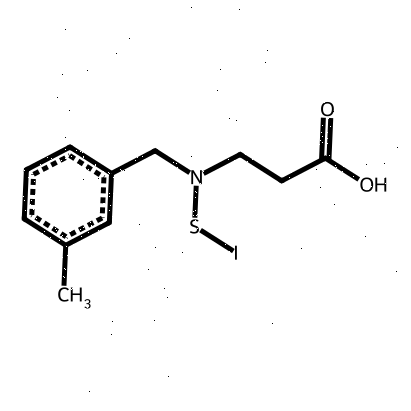 Cc1cccc(CN(CCC(=O)O)SI)c1